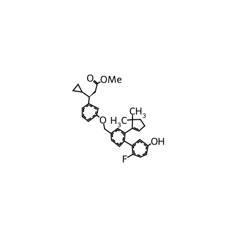 COC(=O)C[C@@H](c1cccc(OCc2ccc(-c3cc(O)ccc3F)c(C3=CCCC3(C)C)c2)c1)C1CC1